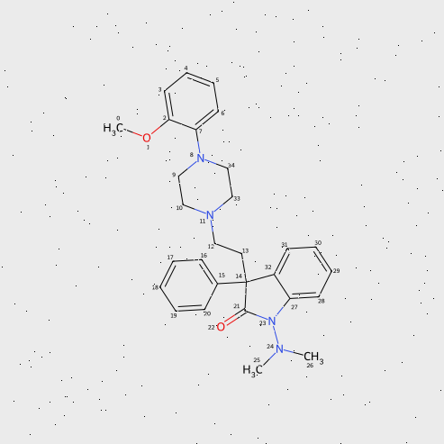 COc1ccccc1N1CCN(CCC2(c3ccccc3)C(=O)N(N(C)C)c3ccccc32)CC1